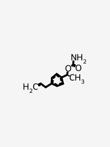 C=CCc1ccc([C@H](C)OC(N)=O)cc1